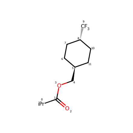 CC(C)C(=O)OC[C@H]1CC[C@H](C(F)(F)F)CC1